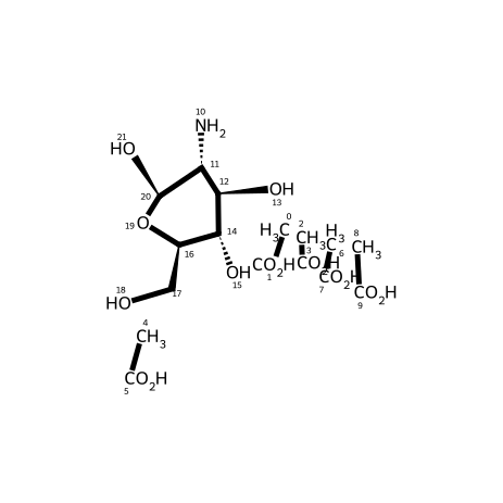 CC(=O)O.CC(=O)O.CC(=O)O.CC(=O)O.CC(=O)O.N[C@@H]1[C@@H](O)[C@H](O)[C@@H](CO)O[C@H]1O